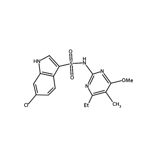 CCc1nc(NS(=O)(=O)c2c[nH]c3cc(Cl)ccc23)nc(OC)c1C